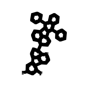 Fc1cc(F)c2c(c1)-c1ccc(-c3ccc4c5c(cccc35)-c3c-4c(-c4ccccc4)c4ccccc4c3-c3ccccc3)c3nccc-2c13